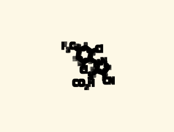 N#Cc1cnn(-c2c(Cl)cc(C(F)(F)F)cc2Cl)c1SC(=O)O